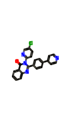 O=c1c2ccccc2nc(-c2ccc(-c3ccncc3)cc2)n1-c1ccc(Cl)cn1